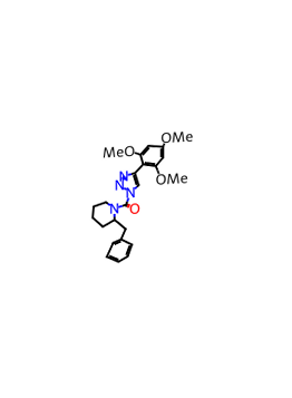 COc1cc(OC)c(-c2cn(C(=O)N3CCCCC3Cc3ccccc3)nn2)c(OC)c1